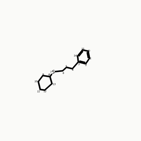 [c]1ccc(CCCSC2CCCCC2)cc1